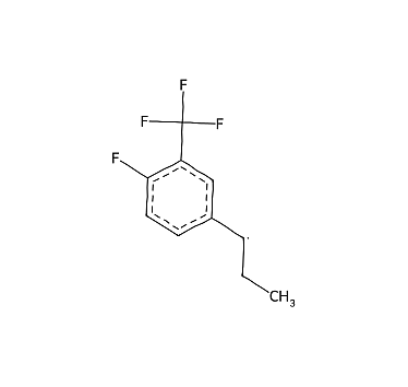 CC[CH]c1ccc(F)c(C(F)(F)F)c1